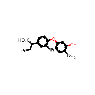 CC(C)CC(C(=O)O)c1ccc(Oc2ccc([N+](=O)[O-])c(O)c2)c(C(C)C)c1